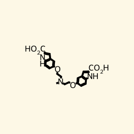 CN(CCOc1ccc2[nH]c(C(=O)O)cc2c1)CCOc1ccc2[nH]c(C(=O)O)cc2c1